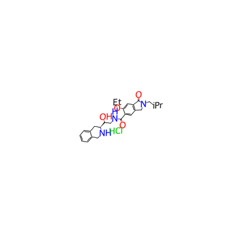 CCOc1cc2c(cc1C(=O)NCC(O)[C@@H]1Cc3ccccc3CN1)CN(CC(C)C)C2=O.Cl